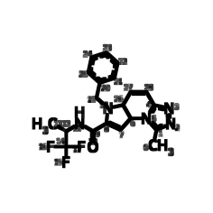 Cc1nnc2n1C1C=C(C(=O)N[C@H](C)C(F)(F)F)N(Cc3ccccc3)C1C=C2